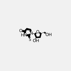 O=c1ccn([C@@H]2O[C@H](CO)C[C@@H]2O)c(=S)[nH]1